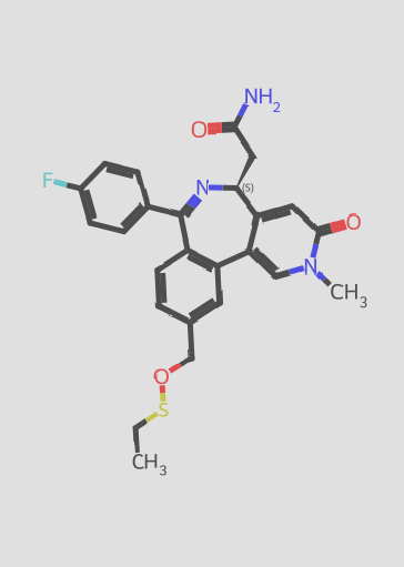 CCSOCc1ccc2c(c1)-c1cn(C)c(=O)cc1[C@H](CC(N)=O)N=C2c1ccc(F)cc1